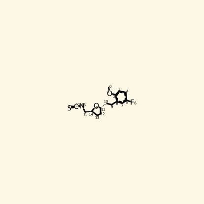 COc1ccc(F)cc1CC[C@@H]1CC[C@@H](CN=C=S)O1